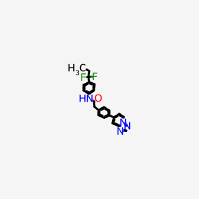 CCC(F)(F)c1ccc(NC(=O)Cc2ccc(-c3ccn4ncnc4c3)cc2)cc1